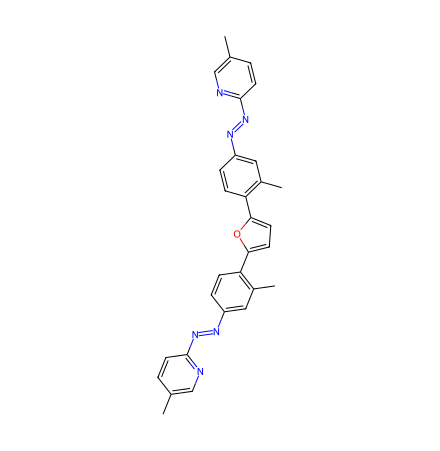 Cc1ccc(N=Nc2ccc(-c3ccc(-c4ccc(N=Nc5ccc(C)cn5)cc4C)o3)c(C)c2)nc1